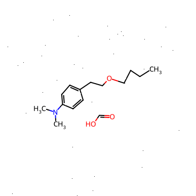 CCCCOCCc1ccc(N(C)C)cc1.O=CO